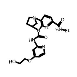 CCNC(=O)c1ccc2c(n1)N(C(=O)Nc1cc(OCCO)ccn1)C1CCN2C1